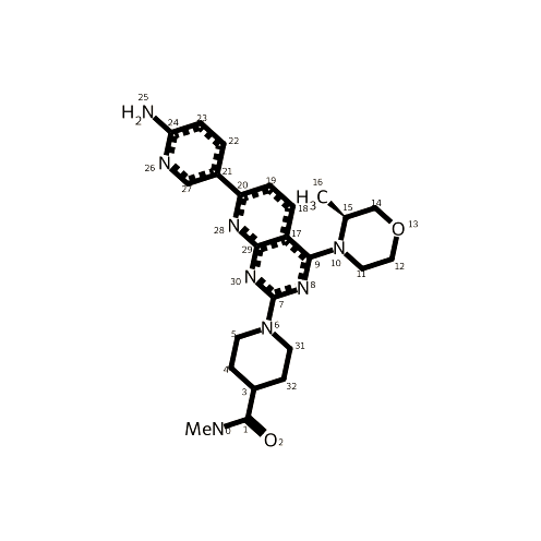 CNC(=O)C1CCN(c2nc(N3CCOC[C@@H]3C)c3ccc(-c4ccc(N)nc4)nc3n2)CC1